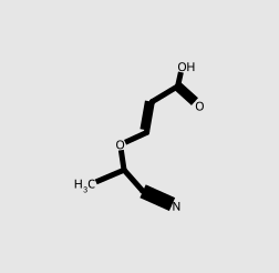 CC(C#N)OC=CC(=O)O